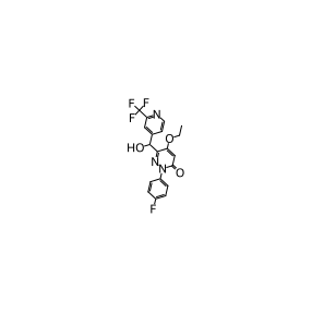 CCOc1cc(=O)n(-c2ccc(F)cc2)nc1C(O)c1ccnc(C(F)(F)F)c1